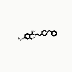 N=C(NCCC1CCN(Cc2ccccc2)CC1)c1ccc(N)cc1F